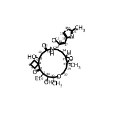 CC[C@H]1C(=O)C2(CCC2)[C@@H](O)CC(=O)N[C@H](C(Cl)=Cc2csc(C)n2)C[C@@H]2O[C@]2(C)CCO[C@H](C)[C@H]1O